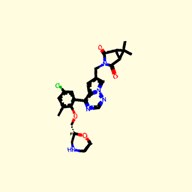 Cc1cc(Cl)cc(-c2ncnn3cc(CN4C(=O)C5C(C4=O)C5(C)C)cc23)c1OC[C@H]1CNCCO1